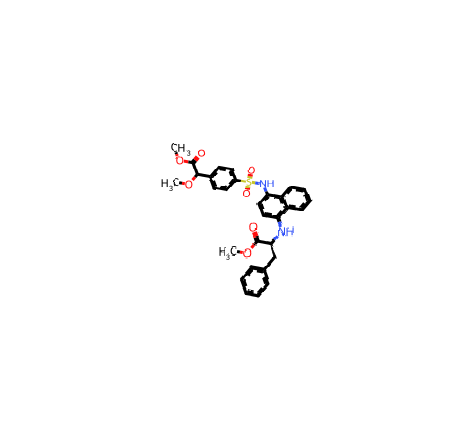 COC(=O)C(OC)c1ccc(S(=O)(=O)Nc2ccc(N[C@@H](Cc3ccccc3)C(=O)OC)c3ccccc23)cc1